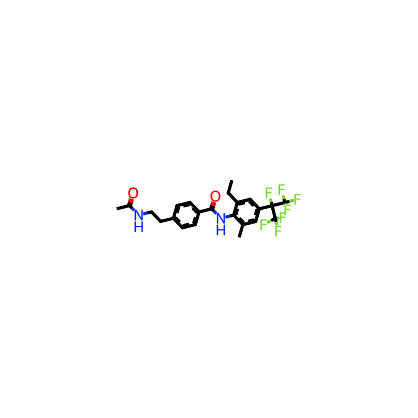 CCc1cc(C(F)(C(F)(F)F)C(F)(F)F)cc(C)c1NC(=O)c1ccc(CCNC(C)=O)cc1